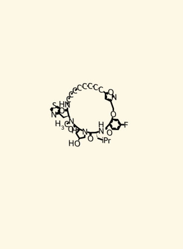 CC(C)C[C@H]1NC(=O)c2ccc(F)cc2OCc2cc(on2)CCCCCCCCNC(=O)[C@H](Cc2cscn2)N(C)C(=O)[C@H]2C[C@H](O)CN2C1=O